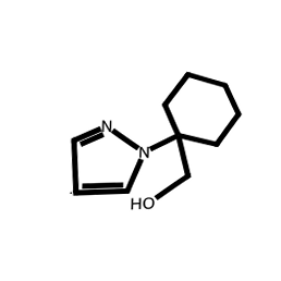 OCC1(n2c[c]cn2)CCCCC1